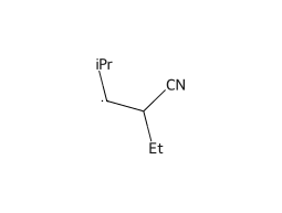 CCC(C#N)[CH]C(C)C